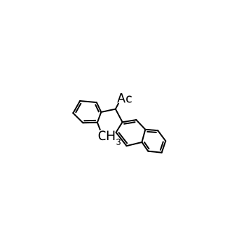 CC(=O)C(c1ccc2ccccc2c1)c1ccccc1C